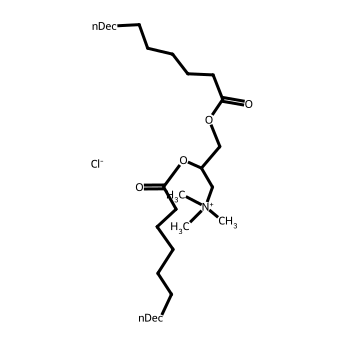 CCCCCCCCCCCCCCCC(=O)OCC(C[N+](C)(C)C)OC(=O)CCCCCCCCCCCCCCC.[Cl-]